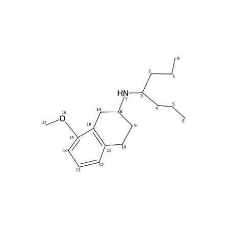 CCCC(CCC)NC1CCc2cccc(OC)c2C1